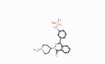 CCS(=O)(=O)Nc1cccc(-c2nn(C3CCN(C)CC3)c(=O)c3ccccc23)c1